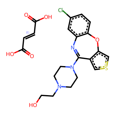 O=C(O)/C=C/C(=O)O.OCCN1CCN(C2=Nc3cc(Cl)ccc3Oc3cscc32)CC1